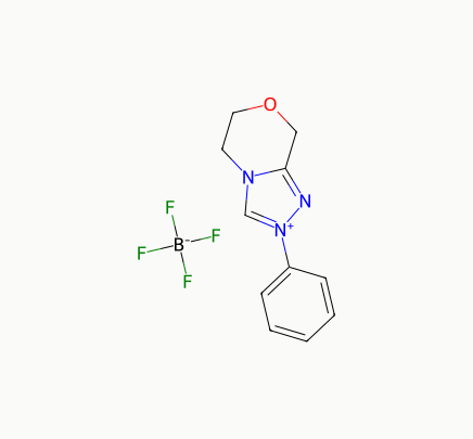 F[B-](F)(F)F.c1ccc(-[n+]2cn3c(n2)COCC3)cc1